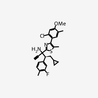 C#CC(N)(c1nc(-c2cc(C)c(OC)cc2Cl)c(C)s1)[C@@H](CC1CC1)c1ccc(C)c(F)c1